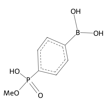 COP(=O)(O)c1ccc(B(O)O)cc1